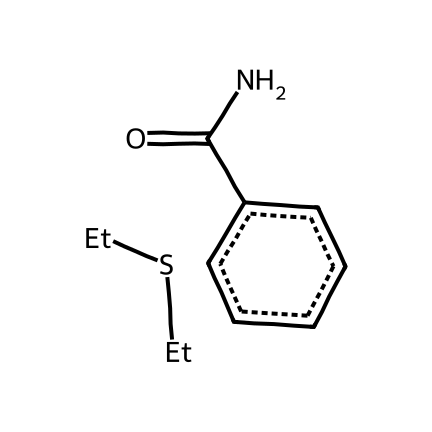 CCSCC.NC(=O)c1ccccc1